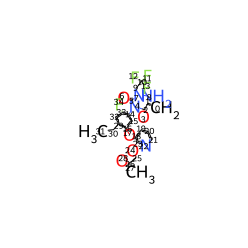 C=CC(=O)N(C(=O)N(N)CC(F)(F)F)c1cc(Oc2cccnc2OCC(C)=O)c(CC)cc1F